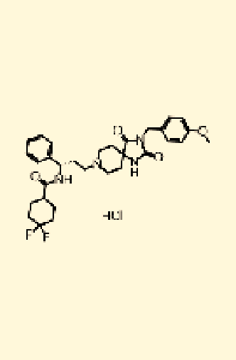 COc1ccc(CN2C(=O)NC3(CCN(CC[C@H](NC(=O)C4CCC(F)(F)CC4)c4ccccc4)CC3)C2=O)cc1.Cl